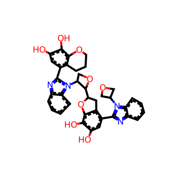 Oc1cc(-c2nc3ccccc3n2C2COC2)c2c(c1O)OC(C1OCC1n1c(-c3cc(O)c(O)c4c3CCCO4)nc3ccccc31)C2